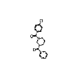 O=C(c1ccccc1)C1CCCN(C(=O)c2ccc(Cl)cc2)C1